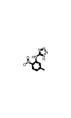 Cc1ccc([N+](=O)[O-])c(Nc2nnn[nH]2)c1